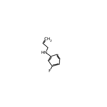 C=CCNc1[c]ccc(F)c1